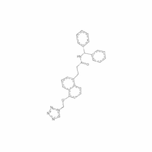 O=C(CCc1cccc2c(OCn3cnnn3)cccc12)NC(c1ccccc1)c1ccccc1